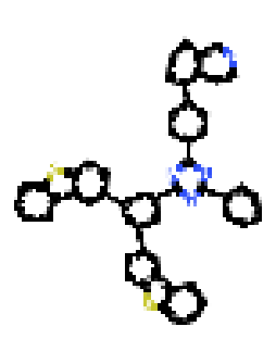 c1ccc(-c2nc(-c3ccc(-c4cccc5cnccc45)cc3)nc(-c3cc(-c4ccc5sc6ccccc6c5c4)cc(-c4ccc5sc6ccccc6c5c4)c3)n2)cc1